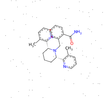 Cc1cccnc1[C@H]1CCC[C@@H](c2ncccc2C)N1Cc1ccccc1C(N)=O